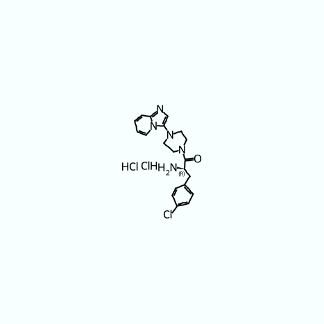 Cl.Cl.N[C@H](Cc1ccc(Cl)cc1)C(=O)N1CCN(c2cnc3ccccn23)CC1